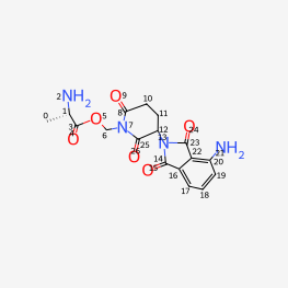 C[C@H](N)C(=O)OCN1C(=O)CCC(N2C(=O)c3cccc(N)c3C2=O)C1=O